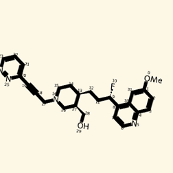 COc1ccc2nccc([C@@H](F)CC[C@@H]3CCN(CC#Cc4cccnn4)C[C@@H]3CO)c2c1